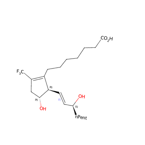 CCCCC[C@H](O)/C=C/[C@@H]1C(CCCCCCC(=O)O)=C(C(F)(F)F)C[C@H]1O